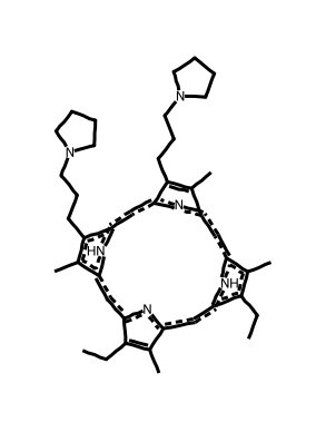 CCC1=C(C)c2cc3[nH]c(cc4nc(cc5[nH]c(cc1n2)c(C)c5CCCN1CCCC1)C(CCCN1CCCC1)=C4C)c(C)c3CC